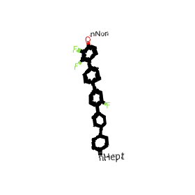 CCCCCCCCCOc1ccc(-c2ccc(-c3ccc(C4=CCC(C5CCC(CCCCCCC)CC5)CC4)c(F)c3)cc2)c(F)c1F